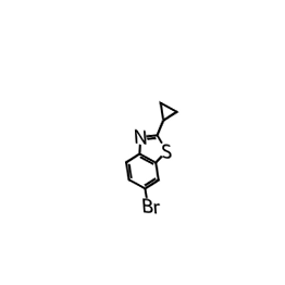 Brc1ccc2nc(C3CC3)sc2c1